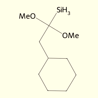 COC([SiH3])(CC1CCCCC1)OC